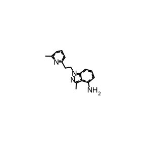 Cc1cccc(CCn2nc(C)c3c(N)cccc32)n1